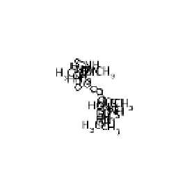 CNCC(=O)N[C@H]1CCS[C@H]2CC(C)(C)[C@@H](C(=O)N[C@H](COCc3ccc4cc(COCC(O)(NC(=O)[C@H]5N6C(=O)[C@@H](NC(=O)[C@H](C)NC)CCS[C@H]6CC5(C)C)c5ccccc5)ccc4c3)c3ccccc3)N2C1=O